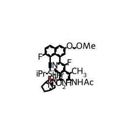 COCOc1cc(-c2ncc3c(N4CC5CCC(C4)N5C(=O)O)nc(NC(C)=O)c(C)c3c2F)c2c(C#C[Si](C(C)C)(C(C)C)C(C)C)c(F)ccc2c1